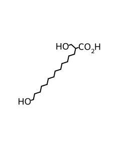 O=C(O)C(CO)CCCCCCCCCCCCCO